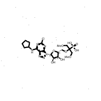 COCC(COC)(OC[C@H]1O[C@@H](n2nnc3c(NC4CCCC4)nc(Cl)nc32)[C@H](O)[C@@H]1O)P(=O)(O)O